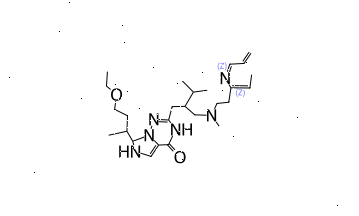 C=C/C=N\C(=C/C)CCN(C)CC(CC1=NN2C(=CNC2C(C)CCOCC)C(=O)N1)C(C)C